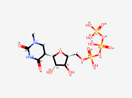 CN1CC([C@@H]2O[C@H](COP(=O)(O)OP(=O)(O)OP(=O)(O)O)C(O)[C@@H]2O)C(=O)NC1=O